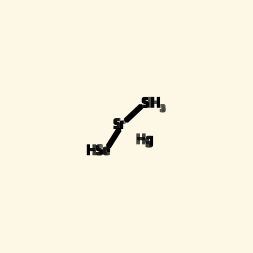 [Hg].[SiH3][Sr][SeH]